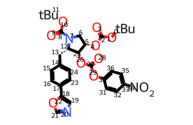 CC(C)(C)OC(=O)O[C@H]1CN(C(=O)OC(C)(C)C)[C@@H](Cc2ccc(-c3cnco3)cc2)[C@@H]1OC(=O)Oc1ccc([N+](=O)[O-])cc1